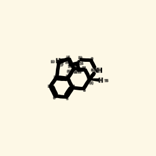 c1cc2c3c(c1)C[C@H]1NCC[C@]34C1CCC[C@@H]4C2